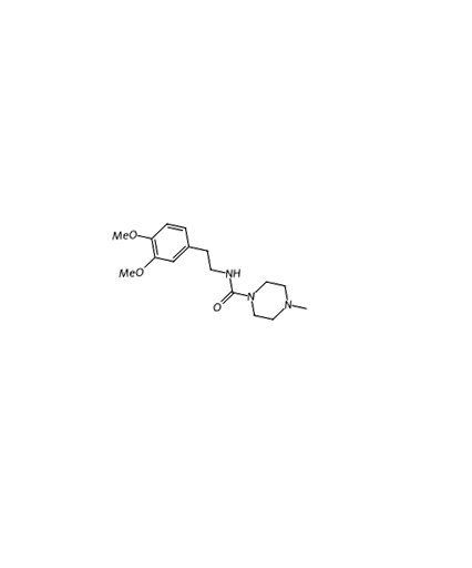 COc1ccc(CCNC(=O)N2CCN(C)CC2)cc1OC